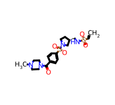 C=CS(=O)(=O)NC[C@H]1CCN(S(=O)(=O)c2ccc(C(=O)N3CCN(C)CC3)cc2)C1